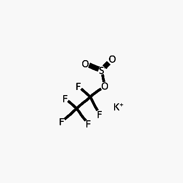 O=[S-](=O)OC(F)(F)C(F)(F)F.[K+]